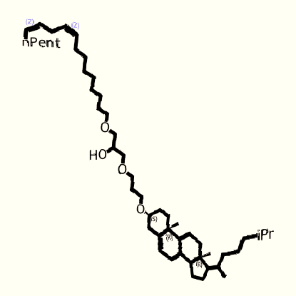 CCCCC/C=C\C/C=C\CCCCCCCCOCC(O)COCCCO[C@H]1CC[C@@]2(C)C(=CCC3C4CCC(C(C)CCCC(C)C)[C@@]4(C)CCC32)C1